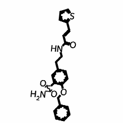 NS(=O)(=O)c1cc(CCNC(=O)C=Cc2cccs2)ccc1OCc1ccccc1